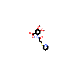 COc1cc(NC(=O)CCSc2ccccn2)c(C(=O)O)cc1OC